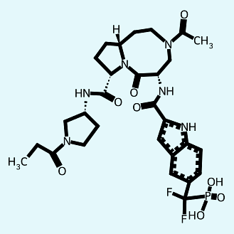 CCC(=O)N1CC[C@@H](NC(=O)[C@@H]2CC[C@@H]3CCN(C(C)=O)C[C@H](NC(=O)c4cc5cc(C(F)(F)P(=O)(O)O)ccc5[nH]4)C(=O)N32)C1